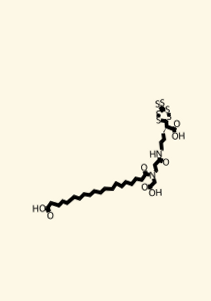 O=C(O)CCCCCCCCCCCCCCCCCCC(=O)N(CCC(=O)NCCCC[C@@H](C(=O)O)C1SSC2(SS1)SS2)CC(=O)O